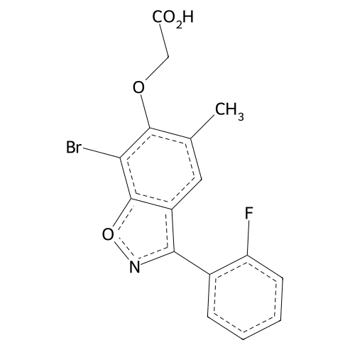 Cc1cc2c(-c3ccccc3F)noc2c(Br)c1OCC(=O)O